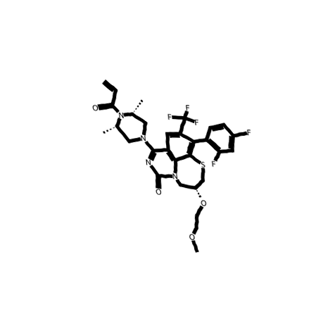 C=CC(=O)N1[C@H](C)CN(c2nc(=O)n3c4c(c(-c5ccc(F)cc5F)c(C(F)(F)F)cc24)SC[C@H](OCCOC)C3)C[C@@H]1C